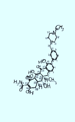 C[C@H]1c2ccc(-c3cccc(CN4CCN(C)CC4)c3)c(O)c2C(=O)C2=C(O)[C@]3(O)C(=O)C(C(N)=O)=C(O)C[C@@H]3[C@@H](O)[C@@H]21